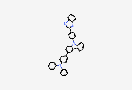 c1ccc(N(c2ccccc2)c2ccc(-c3ccc4c(c3)c3ccccc3n4-c3ccc(-c4cnc5ccccc5n4)cc3)cc2)cc1